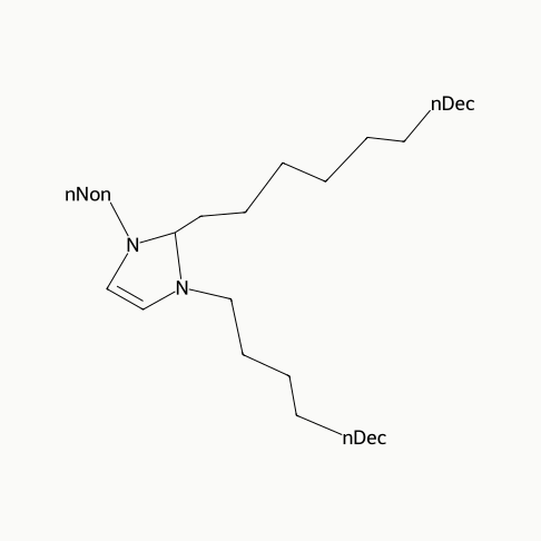 CCCCCCCCCCCCCCCCC1N(CCCCCCCCC)C=CN1CCCCCCCCCCCCCC